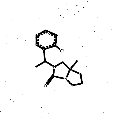 CC(c1ccccc1Cl)N1CC2(C)CCCN2C1=O